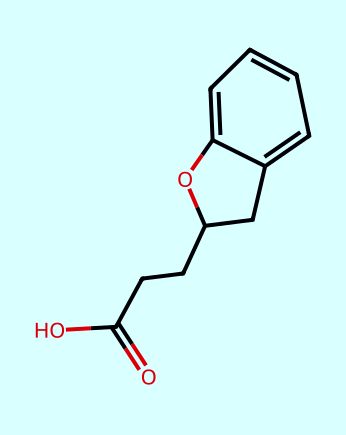 O=C(O)CCC1Cc2ccccc2O1